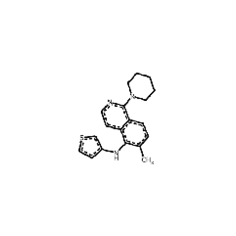 Cc1ccc2c(N3CCCCC3)nccc2c1Nc1ccsc1